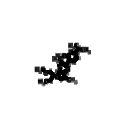 CCC(COC)n1cc(C)c2nc(-c3ccc(C(C)C)nc3C)c(C)nc21